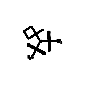 C[Si]1(N(S(=O)(=O)C(F)(F)F)S(=O)(=O)C(F)(F)F)CCC1